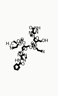 C=CCOP(=O)(OCCC#N)O[C@H]1CC(n2cnc3c(NC(=O)c4ccccc4)ncnc32)OC1COP(=O)(OCCC#N)O[C@H]1CC(n2cnc3c(=O)[nH]cnc32)OC1CO